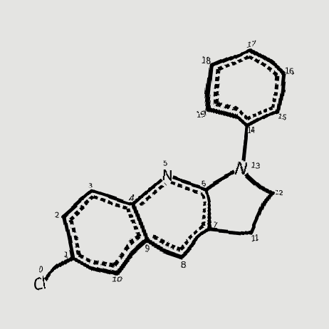 Clc1ccc2nc3c(cc2c1)CCN3c1ccccc1